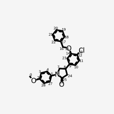 COc1ccc(N2CC(c3ccc(Cl)c(OCc4ccccc4)c3)CC2=O)cc1